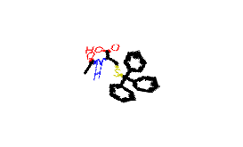 CC(=O)NC(CSC(c1ccccc1)(c1ccccc1)c1ccccc1)C(=O)O